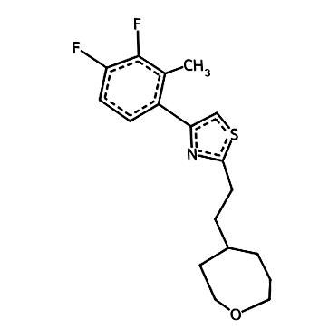 Cc1c(-c2csc(CCC3CCCOCC3)n2)ccc(F)c1F